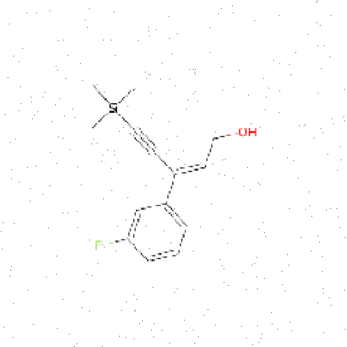 C[Si](C)(C)C#CC(=CCO)c1cccc(F)c1